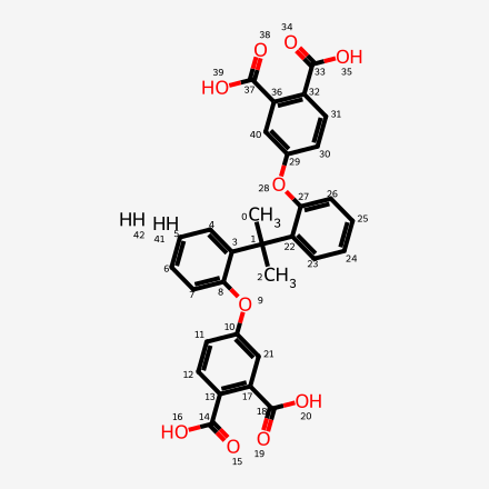 CC(C)(c1ccccc1Oc1ccc(C(=O)O)c(C(=O)O)c1)c1ccccc1Oc1ccc(C(=O)O)c(C(=O)O)c1.[HH].[HH]